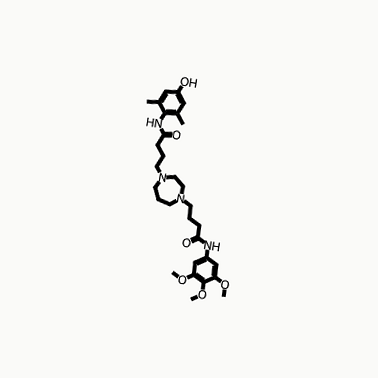 COc1cc(NC(=O)CCCN2CCCN(CCCC(=O)Nc3c(C)cc(O)cc3C)CC2)cc(OC)c1OC